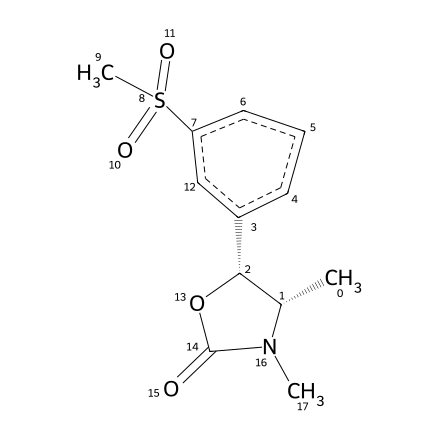 C[C@H]1[C@@H](c2cccc(S(C)(=O)=O)c2)OC(=O)N1C